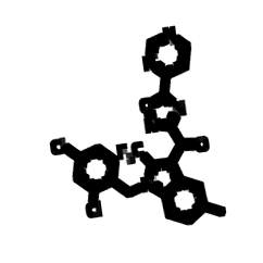 Cc1ccc2c(c1)c(C(=O)c1noc(-c3ccncn3)n1)c(C(F)(F)F)n2Cc1ccc(Cl)cc1Cl